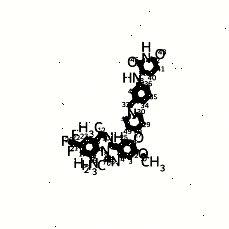 COc1cc2nc(C)nc(N[C@H](C)c3cc(N)cc(C(F)(F)F)c3)c2cc1OC1CCN(Cc2cccc(NC3CCC(=O)NC3=O)c2)CC1